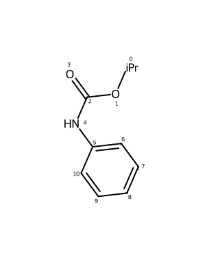 CC(C)OC(=O)Nc1c[c]ccc1